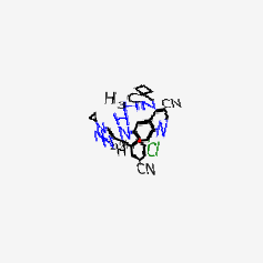 [2H][C@](Nc1cc(Cl)c2ncc(C#N)c(NCC3(C)CCC3)c2c1)(c1cccc(C#N)c1)c1cn(C2CC2)nn1